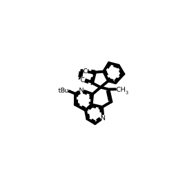 CC1=Cc2nccc3cc(C(C)(C)C)nc(c23)C12c1ccccc1-c1ccccc12